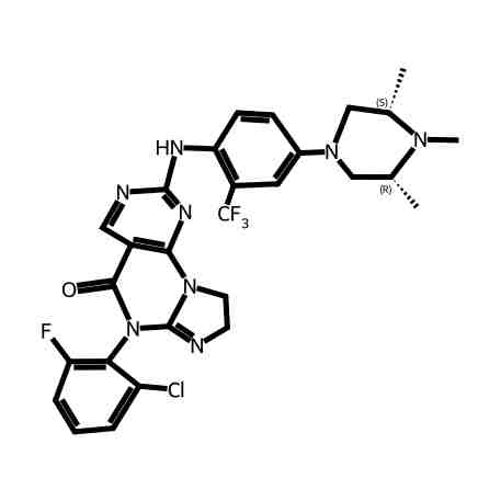 C[C@@H]1CN(c2ccc(Nc3ncc4c(n3)N3CCN=C3N(c3c(F)cccc3Cl)C4=O)c(C(F)(F)F)c2)C[C@H](C)N1C